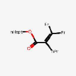 CCCCCCCOC(=O)C(CCC)=C(CC)CC